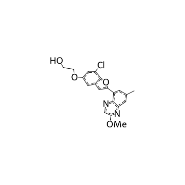 COc1cnc2c(-c3cc4cc(OCCO)cc(Cl)c4o3)cc(C)cc2n1